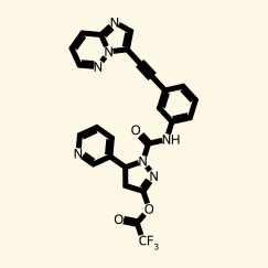 O=C(Nc1cccc(C#Cc2cnc3cccnn23)c1)N1N=C(OC(=O)C(F)(F)F)CC1c1cccnc1